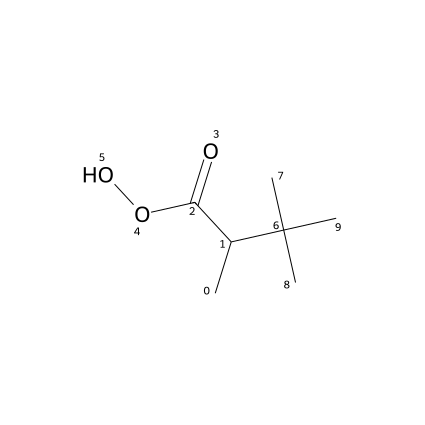 CC(C(=O)OO)C(C)(C)C